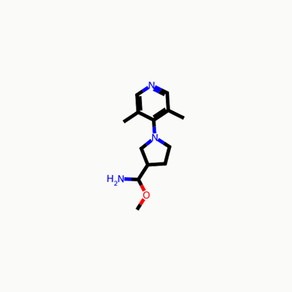 COC(N)C1CCN(c2c(C)cncc2C)C1